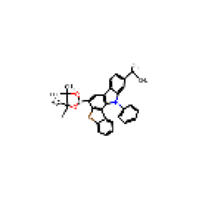 CC(C)c1ccc2c3cc(B4OC(C)(C)C(C)(C)O4)c4sc5ccccc5c4c3n(-c3ccccc3)c2c1